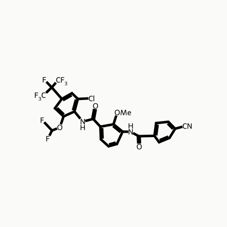 COc1c(NC(=O)c2ccc(C#N)cc2)cccc1C(=O)Nc1c(Cl)cc(C(F)(C(F)(F)F)C(F)(F)F)cc1OC(F)F